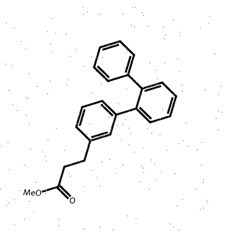 COC(=O)CCc1cccc(-c2ccccc2-c2ccccc2)c1